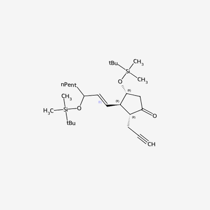 C#CC[C@H]1C(=O)C[C@@H](O[Si](C)(C)C(C)(C)C)[C@@H]1/C=C/C(CCCCC)O[Si](C)(C)C(C)(C)C